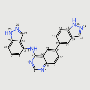 c1cc(Nc2ncnc3ccc(-c4ccc5[nH]ncc5c4)cc23)c2cn[nH]c2c1